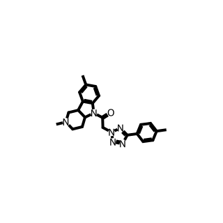 Cc1ccc(-c2nnn(CC(=O)N3c4ccc(C)cc4C4CN(C)CCC43)n2)cc1